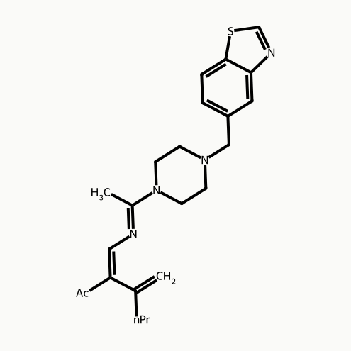 C=C(CCC)/C(=C\N=C(/C)N1CCN(Cc2ccc3scnc3c2)CC1)C(C)=O